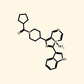 N[N+]12C=CN=CC1=C(C1CCN(C(=O)C3CCCC3)CC1)N=C2c1c[nH]c2ccccc12